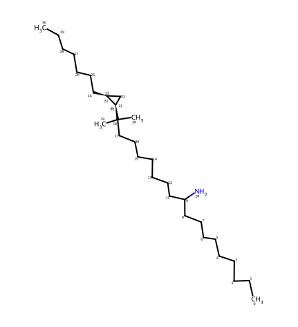 CCCCCCCCCC(N)CCCCCCCC(C)(C)[C@@H]1C[C@@H]1CCCCCCC